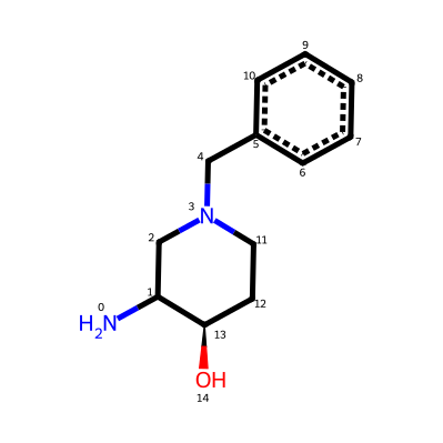 NC1CN(Cc2ccccc2)CC[C@H]1O